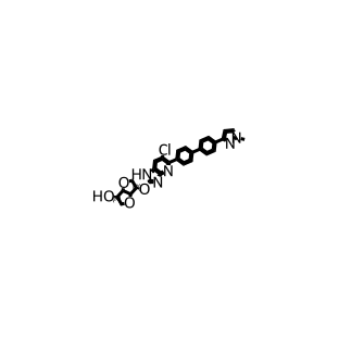 Cn1ccc(-c2ccc(-c3ccc(-c4nc5nc(O[C@@H]6COC7C6OC[C@H]7O)[nH]c5cc4Cl)cc3)cc2)n1